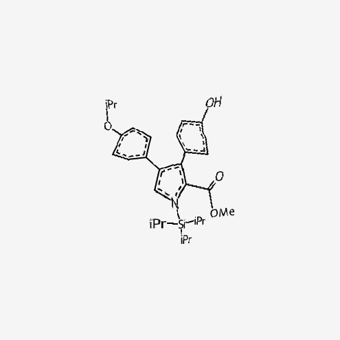 COC(=O)c1c(-c2ccc(O)cc2)c(-c2ccc(OC(C)C)cc2)cn1[Si](C(C)C)(C(C)C)C(C)C